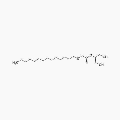 CCCCCCCCCCCCCCSCC(=O)OC(CO)CO